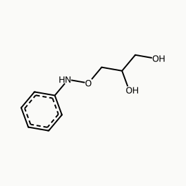 OCC(O)CONc1ccccc1